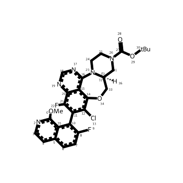 COc1nccc2ccc(F)c(-c3c(Cl)c4c5c(ncnc5c3F)N3CCN(C(=O)OC(C)(C)C)C[C@H]3CO4)c12